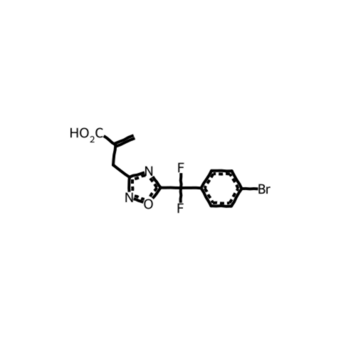 C=C(Cc1noc(C(F)(F)c2ccc(Br)cc2)n1)C(=O)O